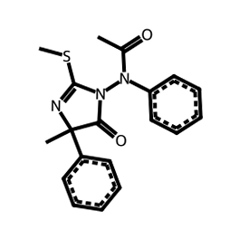 CSC1=NC(C)(c2ccccc2)C(=O)N1N(C(C)=O)c1ccccc1